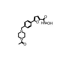 CC(=O)N1CCN(Cc2ccc(-c3ccc(C(=O)NO)o3)cc2)CC1